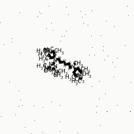 CON1C(C)(C)CC(N(C)CCCCCCN(c2nc(N(C)C)nc(N(C)C)n2)C2CC(C)(C)N(OC)C(C)(C)C2)CC1(C)C